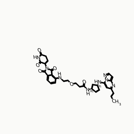 CCCc1cc(N[C@@H]2CC[C@@H](NC(=O)CCOCCNc3cccc4c3C(=O)N(C3CCC(=O)NC3=O)C4=O)C2)n2nccc2n1